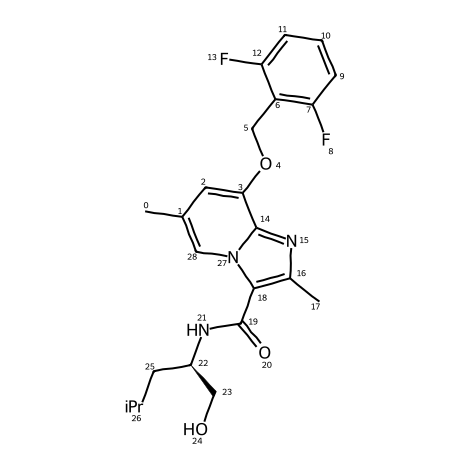 Cc1cc(OCc2c(F)cccc2F)c2nc(C)c(C(=O)N[C@@H](CO)CC(C)C)n2c1